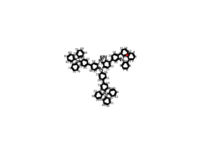 c1ccc(-c2ccccc2-n2c3ccccc3c3ccc(-c4ccc(N(c5ccc(-c6ccc([Si](c7ccccc7)(c7ccccc7)c7ccccc7)cc6)cc5)c5ccc(-c6ccc([Si](c7ccccc7)(c7ccccc7)c7ccccc7)cc6)cc5)c5nsnc45)cc32)cc1